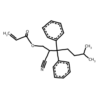 C=CC(=O)OCC(C#N)C(CCC(C)C)(c1ccccc1)c1ccccc1